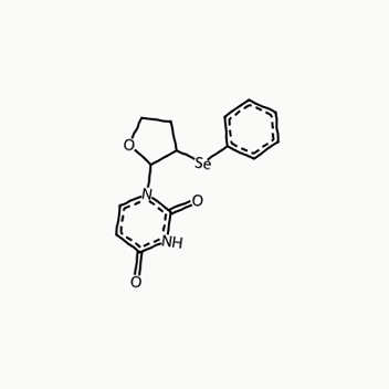 O=c1ccn(C2OCCC2[Se]c2ccccc2)c(=O)[nH]1